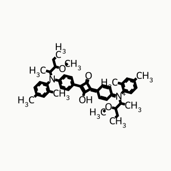 CCC(OC)C(C)N(c1ccc(C2=C(O)C(=C3C=CC(=[N+](c4ccc(C)cc4C)C(C)C(CC)OC)C=C3)C2=O)cc1)c1ccc(C)cc1C